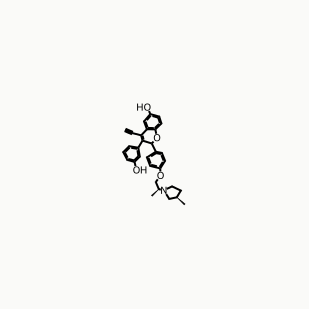 C#CC1=C(c2cccc(O)c2)C(c2ccc(OC[C@H](C)N3CC[C@@H](C)C3)cc2)Oc2ccc(O)cc21